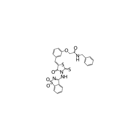 O=C(COc1cccc(C=C2SC(=S)N(NC3=NS(=O)(=O)c4ccccc43)C2=O)c1)NCc1ccccc1